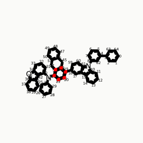 c1ccc(-c2cccc(-n3c4ccccc4c4cc(-c5ccc(N(c6ccccc6)c6cccc7oc8ccccc8c67)c6c5C5c7ccccc7C6c6ccccc65)ccc43)c2)cc1